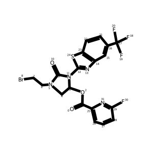 O=C(OC1CN(CCBr)C(=O)N1c1nc2cc(C(F)(F)F)ccc2s1)c1cccc(F)n1